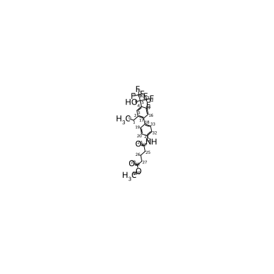 CCc1cc(C(O)(C(F)(F)F)C(F)(F)F)ccc1-c1ccc(NC(=O)CCCC(=O)OC)cc1